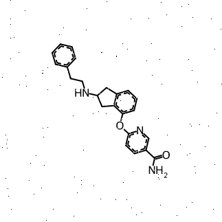 NC(=O)c1ccc(Oc2cccc3c2CC(NCCc2ccccc2)C3)nc1